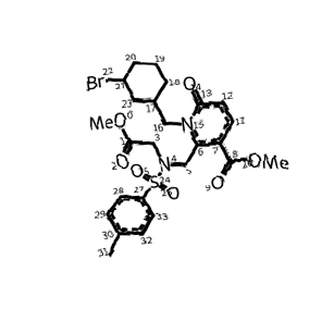 COC(=O)CN(Cc1c(C(=O)OC)ccc(=O)n1CC1CCCC(Br)C1)S(=O)(=O)c1ccc(C)cc1